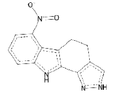 O=[N+]([O-])c1cccc2[nH]c3c(c12)CCc1c[nH]nc1-3